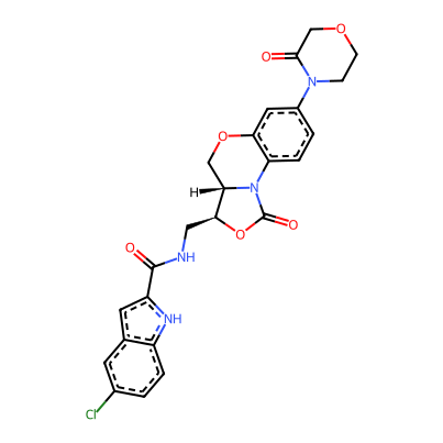 O=C(NC[C@@H]1OC(=O)N2c3ccc(N4CCOCC4=O)cc3OC[C@@H]12)c1cc2cc(Cl)ccc2[nH]1